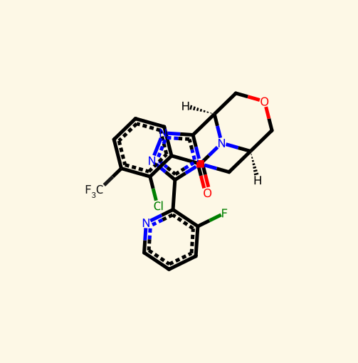 O=C(c1cccc(C(F)(F)F)c1Cl)N1[C@H]2COC[C@@H]1c1nnc(-c3ncccc3F)n1C2